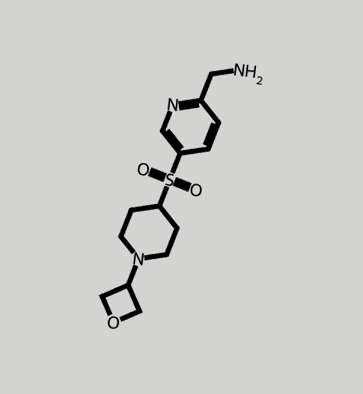 NCc1ccc(S(=O)(=O)C2CCN(C3COC3)CC2)cn1